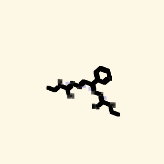 CCN/C(S)=N/N=C/C(=N/N=C(\S)NCC)c1cccnc1